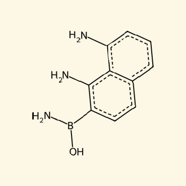 NB(O)c1ccc2cccc(N)c2c1N